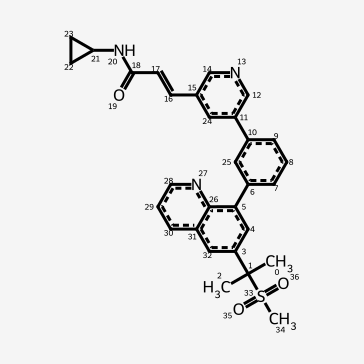 CC(C)(c1cc(-c2cccc(-c3cncc(C=CC(=O)NC4CC4)c3)c2)c2ncccc2c1)S(C)(=O)=O